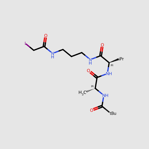 CC(C)[C@@H](NC(=O)[C@@H](C)NC(=O)C(C)(C)C)C(=O)NCCCNC(=O)CI